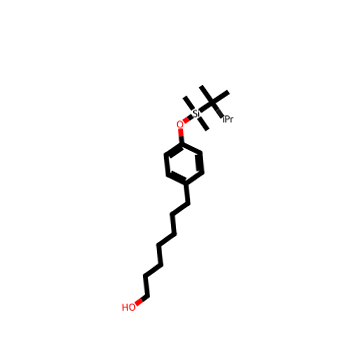 CC(C)C(C)(C)[Si](C)(C)Oc1ccc(CCCCCCCO)cc1